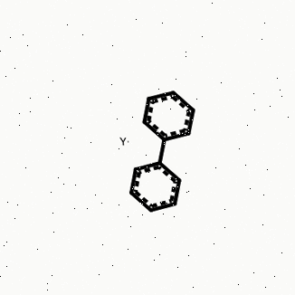 [Y].c1ccc(-c2ccccc2)cc1